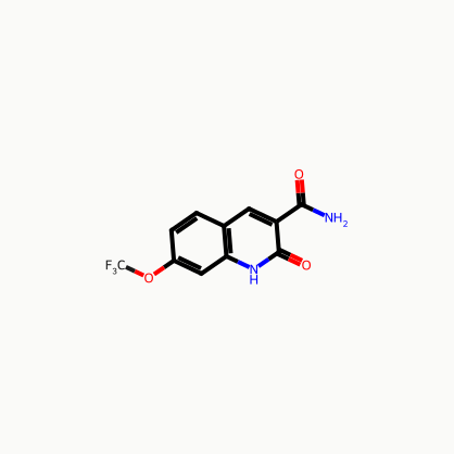 NC(=O)c1cc2ccc(OC(F)(F)F)cc2[nH]c1=O